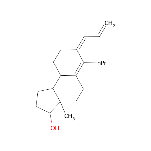 C=C/C=C1/CCC2C(=C1CCC)CCC1(C)C(O)CCC21